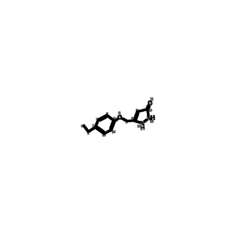 CCc1ccc(OCc2cc(=O)[nH][nH]2)cc1